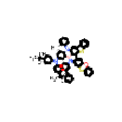 Cc1ccccc1N1c2ccc(N(c3ccc(C(C)(C)C)cc3)c3ccc(C(C)(C)C)cc3)cc2B2c3c1cc1c(sc4ccccc41)c3-c1cc3c(cc1N2c1cccc(-c2ccccc2)c1)Sc1ccccc1O3